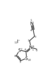 C[N+](CCC#N)=c1sccs1.[I-]